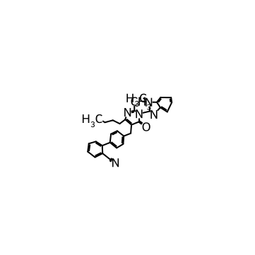 CCCCc1nc(C)n(-c2nc3ccccc3n2C)c(=O)c1Cc1ccc(-c2ccccc2C#N)cc1